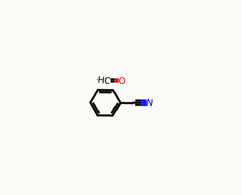 N#Cc1ccccc1.[CH]=O